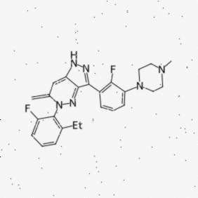 C=C1C=c2[nH]nc(-c3cccc(N4CCN(C)CC4)c3F)c2=NN1c1c(F)cccc1CC